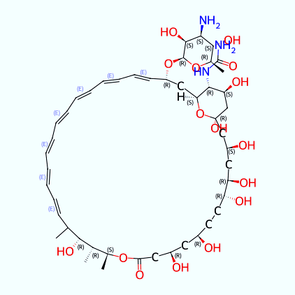 CC1/C=C/C=C/C=C/C=C/C=C/C=C/C=C/[C@H](O[C@@H]2O[C@H](C)[C@@H](O)[C@H](N)[C@@H]2O)C[C@@H]2O[C@](O)(C[C@@H](O)C[C@@H](O)[C@H](O)CC[C@@H](O)C[C@@H](O)CC(=O)O[C@@H](C)[C@H](C)[C@@H]1O)C[C@H](O)[C@H]2NC(N)=O